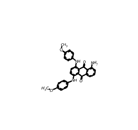 COc1ccc(Nc2ccc(Nc3ccc(OC)cc3)c3c2C(=O)c2cccc(N)c2C3=O)cc1